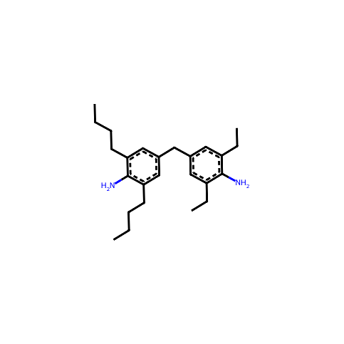 CCCCc1cc(Cc2cc(CC)c(N)c(CC)c2)cc(CCCC)c1N